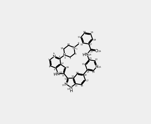 CN1CCN(c2nccc3[nH]c(-c4n[nH]c5ccc(-c6cncc(NC(=O)c7ccccc7)c6)cc45)cc23)CC1